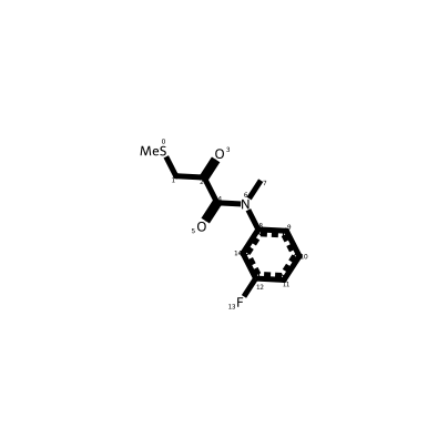 CSCC(=O)C(=O)N(C)c1cccc(F)c1